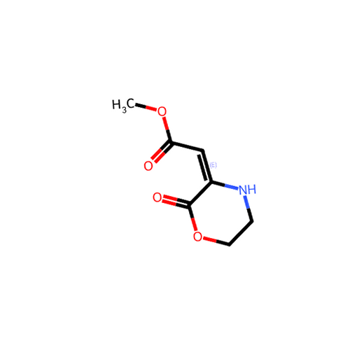 COC(=O)/C=C1/NCCOC1=O